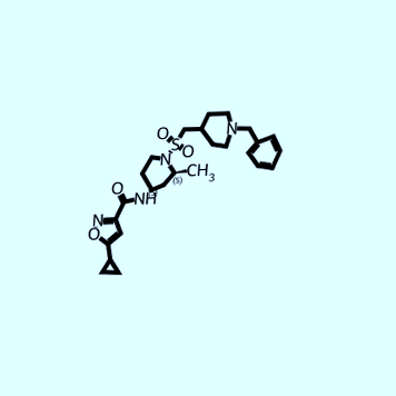 C[C@H]1C[C@@H](NC(=O)c2cc(C3CC3)on2)CCN1S(=O)(=O)CC1CCN(Cc2ccccc2)CC1